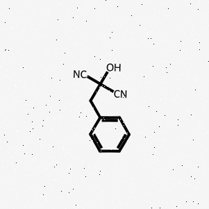 N#CC(O)(C#N)Cc1ccccc1